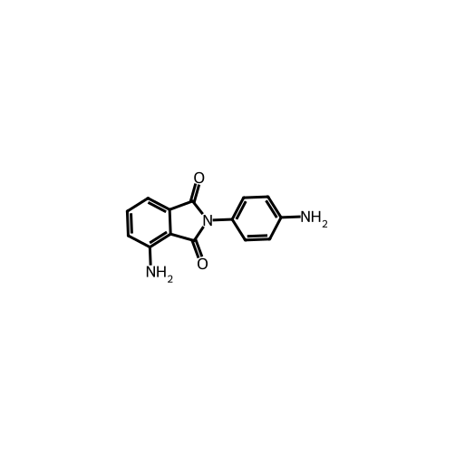 Nc1ccc(N2C(=O)c3cccc(N)c3C2=O)cc1